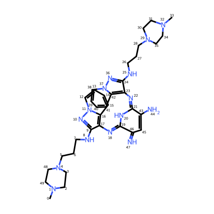 CN1CCN(CCCNc2nn3ccccc3c2/N=C2\N/C(=N\c3c(NCCCN4CCN(C)CC4)nn4ccccc34)C(N)=CC2=N)CC1